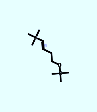 C[Si](C)(C)/C=C/CCO[Si](C)(C)C